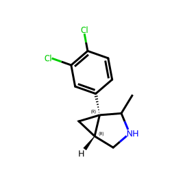 CC1NC[C@@H]2C[C@@]12c1ccc(Cl)c(Cl)c1